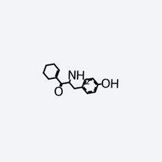 NC(Cc1ccc(O)cc1)C(=O)C1=CCCCC1